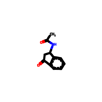 CC(=O)NC1CC(=O)c2ccccc21